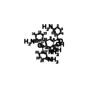 Nc1cccc(C(=O)C2=CC(c3cccc(N)c3)=C(C(=O)c3cccc(N)c3)C(N)C2(O)O)c1